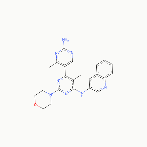 Cc1nc(N)ncc1-c1nc(N2CCOCC2)nc(Nc2cnc3ccccc3c2)c1C